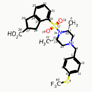 C[C@@H]1CN(Cc2ccc(SC(F)(F)F)cc2)C[C@H](C)N1S(=O)(=O)c1cccc2c1CC(C(=O)O)C2